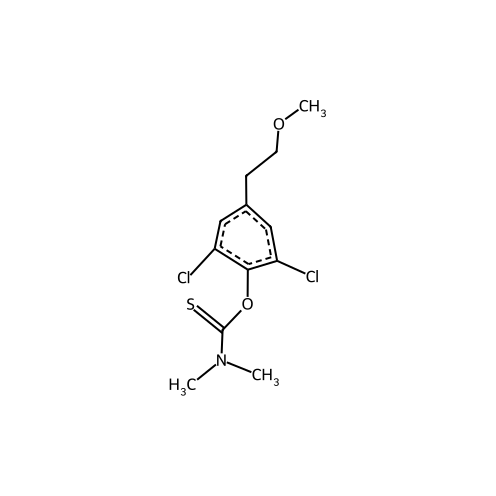 COCCc1cc(Cl)c(OC(=S)N(C)C)c(Cl)c1